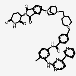 Cc1ccc(NC(=O)c2ccc(CN3CCC(CN4CC5CC4CN5c4ccc5c(c4)C(=O)N(C4CCC(=O)NC4=O)C5=O)CC3)cc2)cc1Nc1nccc(-c2cccnc2)n1